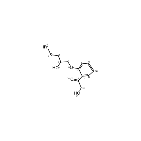 CC(C)SCC(O)COc1ccccc1C(=O)CO